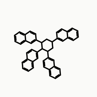 c1ccc2cc(C3CC(c4ccc5ccccc5c4)C(c4ccc5ccccc5c4)C(c4ccc5ccccc5c4)C3)ccc2c1